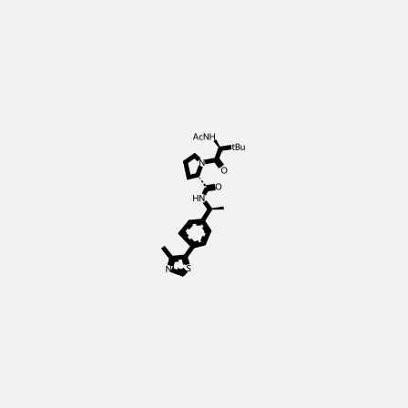 CC(=O)N[C@H](C(=O)N1CCC[C@H]1C(=O)N[C@@H](C)c1ccc(-c2scnc2C)cc1)C(C)(C)C